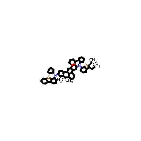 C=Cc1sc2c(N(c3ccc4cc5c6c(cccc6c4c3)C(C)(C)c3cc(N(c4ccccc4)c4cccc6c4sc4ccccc46)ccc3-5)c3ccccc3-c3ccccc3)cccc2c1/C=C\C